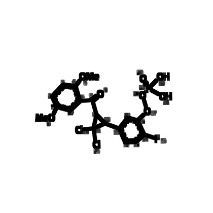 COc1ccc(OC)c(C(=O)C2C(c3ccc(F)c(OOP(=O)(O)O)c3)C2(Cl)Cl)c1